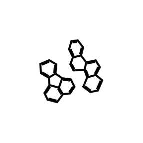 c1ccc2c(c1)-c1cccc3cccc-2c13.c1ccc2c(c1)ccc1c3ccccc3ccc21